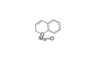 C1=Cc2ccccc2OC1.[O]=[Mo]